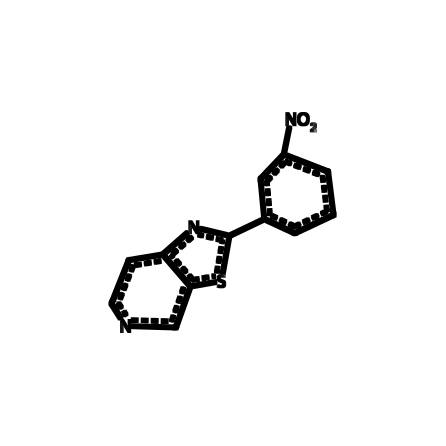 O=[N+]([O-])c1cccc(-c2nc3ccncc3s2)c1